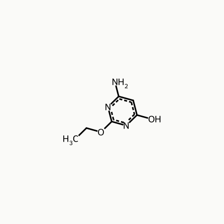 CCOc1nc(N)cc(O)n1